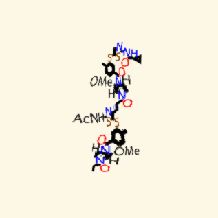 C=CC(=O)N1C[C@@H]2C[C@H]1CN2C(=O)c1cc(Sc2sc(NC(C)=O)nc2/C=C/C(=O)N2C[C@@H]3C[C@H]2CN3C(=O)c2cc(Sc3cnc(NC(=O)C4CC4)s3)c(C)cc2OC)c(C)cc1OC